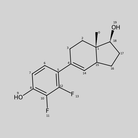 C[C@]12CCC(c3ccc(O)c(F)c3F)=CC1CC[C@@H]2O